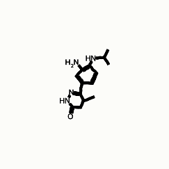 CC(C)Nc1ccc(C2=NNC(=O)CC2C)cc1N